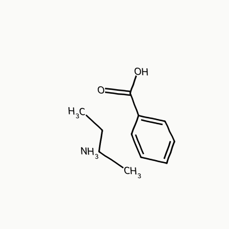 CCCC.N.O=C(O)c1ccccc1